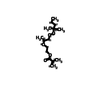 C=C(C)C(=O)OCCOC(C)[C]OOC(C)(C)CCC